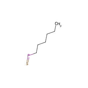 CCCCCCP=S